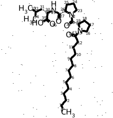 CCCCCCCCCCCCCC(=O)N1CCC[C@H]1C(=O)N1CCC[C@H]1C(=O)N[C@@H](CC(C)C)C(=O)O